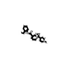 CCc1ccccc1NC(=O)c1cccn2c(C3CCN(C)CC3)nnc12